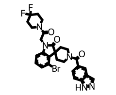 O=C(CN1C(=O)C2(CCN(C(=O)c3ccc4[nH]ncc4c3)CC2)c2c(Br)cccc21)N1CCC(F)(F)CC1